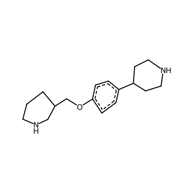 c1cc(C2CCNCC2)ccc1OCC1CCCNC1